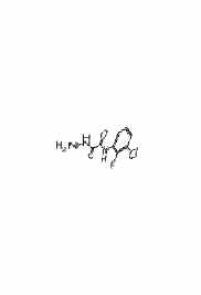 NNC(=O)C(=O)Nc1cccc(Cl)c1F